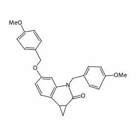 COc1ccc(COc2ccc3c(c2)N(Cc2ccc(OC)cc2)C(=O)C2CC32)cc1